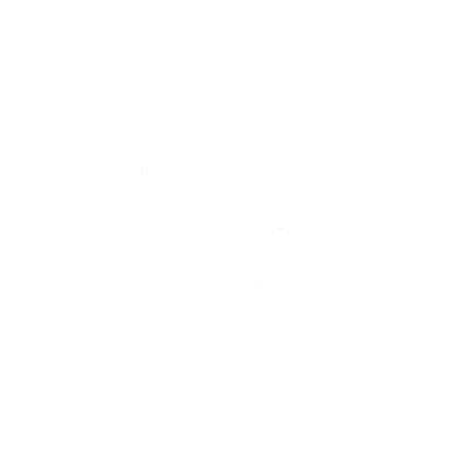 CC(Br)C(Br)C(I)CCCCCI